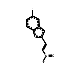 O=[N+]([O-])C=Cc1cc2cc(F)ccc2s1